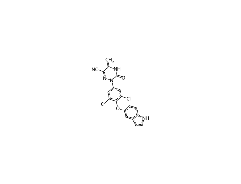 C=C1NC(=O)N(c2cc(Cl)c(Oc3ccc4[nH]ccc4c3)c(Cl)c2)N=C1C#N